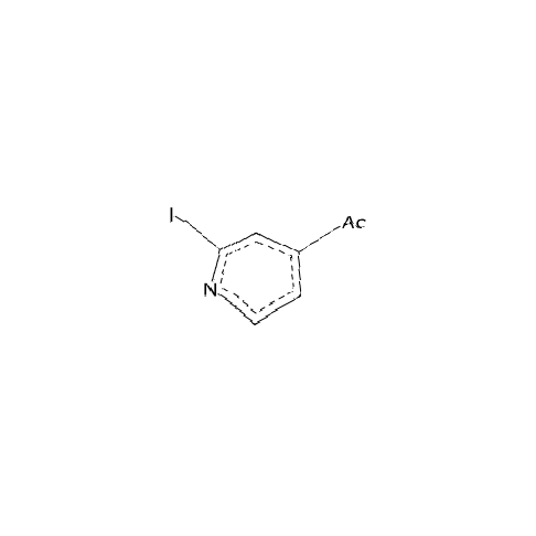 CC(=O)c1ccnc(I)c1